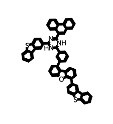 c1cc(-c2cccc3oc4c(-c5ccc6sc7ccccc7c6c5)cccc4c23)cc(C2NC(c3cc4ccccc4c4ccccc34)=NC(c3ccc4sc5ccccc5c4c3)N2)c1